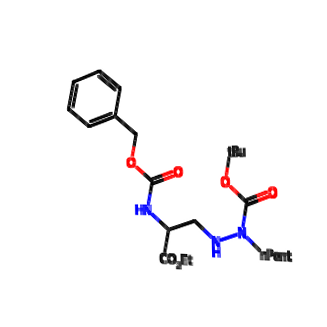 CCCCCN(NCC(NC(=O)OCc1ccccc1)C(=O)OCC)C(=O)OC(C)(C)C